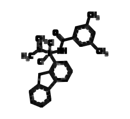 Cc1cc(C)cc(C(=O)[NH][Ti]([Cl])([Cl])([c]2cccc3c2Cc2ccccc2-3)[SiH](C)C)c1